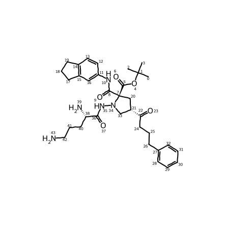 CC(C)(C)OC(=O)[C@@]1(C(=O)Nc2ccc3c(c2)CCC3)C[C@H](C(=O)CCCc2ccccc2)CN1NC(=O)[C@@H](N)CCCN